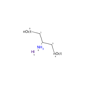 CCCCCCCCCCCCCCCCCCC.I.N